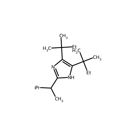 CCC(C)(C)c1nc(C(C)C(C)C)[nH]c1C(C)(C)CC